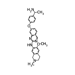 COc1cc2c(cc1Nc1ncc3ccc(Oc4ccc(C(C)N)cc4)cc3n1)CN(C)CC2